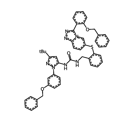 CC(C)(C)c1cc(NC(=O)NCc2ccccc2Sc2ccc3nnc(-c4ccccc4OCc4ccccc4)n3c2)n(-c2cccc(OCc3ccccc3)c2)n1